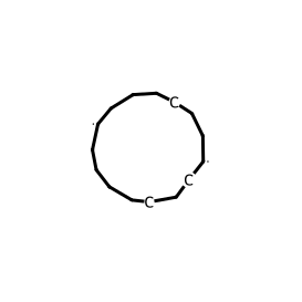 [CH]1CCCCCC[CH]CCCCCCC1